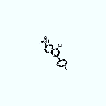 Cc1ccc(-c2cc(Cl)c3cc([SH](=O)=O)ccc3n2)cc1